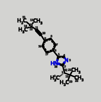 C[C@H](c1ncc(-c2ccc(C#C[Si](C)(C)C)cc2)[nH]1)C(C)(C)C